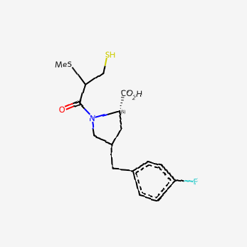 CSC(CS)C(=O)N1CC(Cc2ccc(F)cc2)C[C@H]1C(=O)O